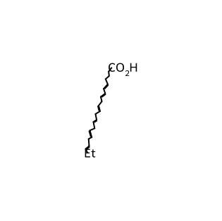 CCC=CCC=CCC=CCC=CCC=CC=CCCCC(=O)O